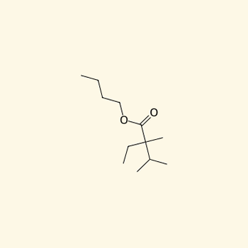 CCCCOC(=O)C(C)(CC)C(C)C